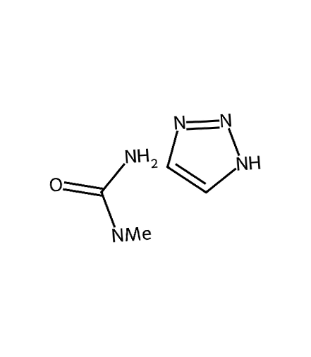 CNC(N)=O.c1c[nH]nn1